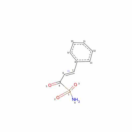 NS(=O)(=O)C(=O)/C=C/c1ccccc1